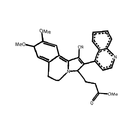 COC(=O)CCC1C(c2ccnc3ccccc23)=C(C#N)C2=C3C=C(OC)C(OC)C=C3CCN21